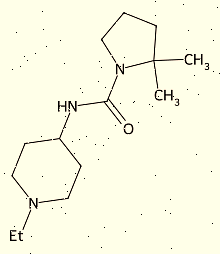 CCN1CCC(NC(=O)N2CCCC2(C)C)CC1